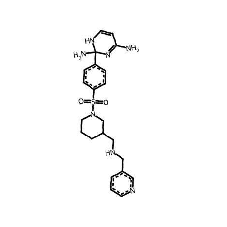 NC1=NC(N)(c2ccc(S(=O)(=O)N3CCCC(CNCc4cccnc4)C3)cc2)NC=C1